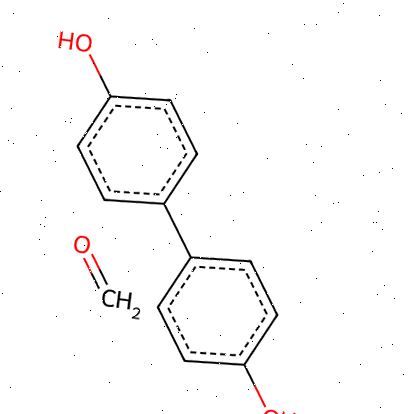 C=O.Oc1ccc(-c2ccc(O)cc2)cc1